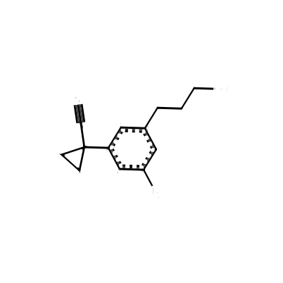 N#CC1(c2cc(Br)cc(CCCO)c2)CC1